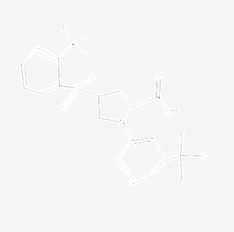 O=C(O)C1CC(S(=O)(=O)c2ccccc2C(F)(F)F)CN1c1cccc(C(F)(F)F)c1